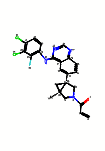 C=CC(=O)N1C[C@H]2C[C@@]2(c2ccc3ncnc(Nc4ccc(Cl)c(Cl)c4F)c3c2)C1